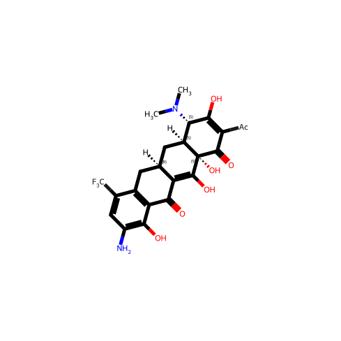 CC(=O)C1=C(O)[C@@H](N(C)C)[C@@H]2C[C@@H]3Cc4c(C(F)(F)F)cc(N)c(O)c4C(=O)C3=C(O)[C@]2(O)C1=O